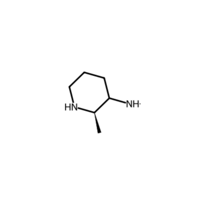 C[C@H]1NCCCC1[NH]